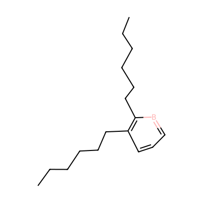 CCCCCCc1bcccc1CCCCCC